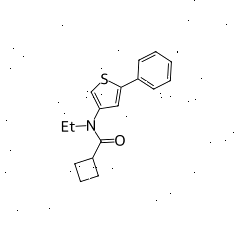 CCN(C(=O)C1CCC1)c1csc(-c2ccccc2)c1